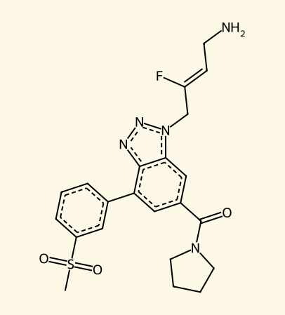 CS(=O)(=O)c1cccc(-c2cc(C(=O)N3CCCC3)cc3c2nnn3C/C(F)=C/CN)c1